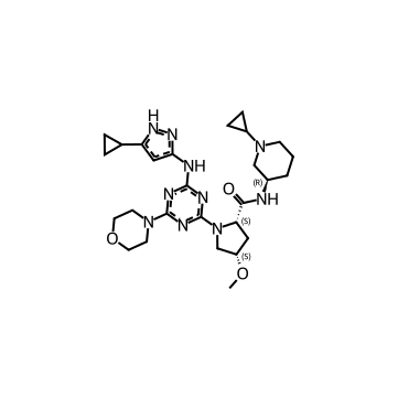 CO[C@H]1C[C@@H](C(=O)N[C@@H]2CCCN(C3CC3)C2)N(c2nc(Nc3cc(C4CC4)[nH]n3)nc(N3CCOCC3)n2)C1